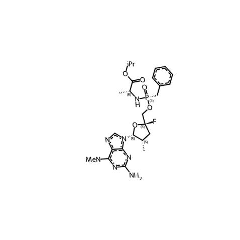 CNc1nc(N)nc2c1ncn2[C@@H]1O[C@](F)(CO[P@@](=O)(Cc2ccccc2)N[C@H](C)C(=O)OC(C)C)C[C@@H]1C